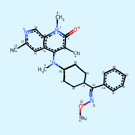 CN(c1c(C#N)c(=O)n(C)c2cnc(C#N)cc12)C1CCC(/C(=N\OC(C)(C)C)c2ccccc2)CC1